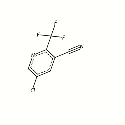 N#Cc1cc(Cl)cnc1C(F)(F)F